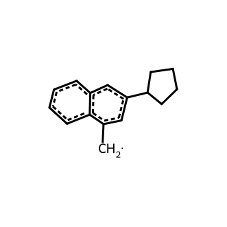 [CH2]c1cc(C2CCCC2)cc2ccccc12